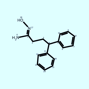 NC(CCC(c1ccccc1)c1ccccc1)=NO